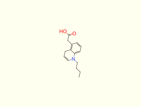 CCCCN1C=CCc2c(CC(=O)O)cccc21